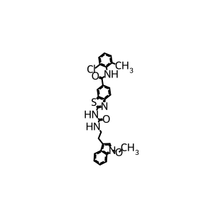 COn1cc(CCNC(=O)Nc2nc3ccc(C(=O)Nc4c(C)cccc4Cl)cc3s2)c2ccccc21